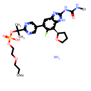 CCNC(=O)Nc1nc2cc(-c3cnc(C(C)(C)OP(=O)(O)OCCOCCOC)nc3)c(F)c([C@H]3CCCO3)c2[nH]1.N